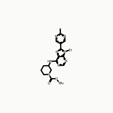 CCn1c(-c2cnc(C)nc2)nc2c(NC3CCCN(C(=O)OC(C)(C)C)C3)ncnc21